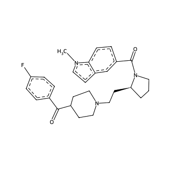 Cn1ccc2cc(C(=O)N3CCC[C@H]3CCN3CCC(C(=O)c4ccc(F)cc4)CC3)ccc21